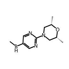 CBc1cnc(N2C[C@@H](C)O[C@@H](C)C2)nc1